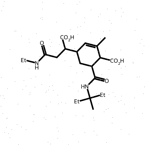 CCNC(=O)CC(C(=O)O)C1C=C(C)C(C(=O)O)C(C(=O)NC(C)(CC)CC)C1